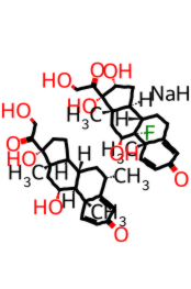 C[C@H]1C[C@@H]2[C@H]([C@@H](O)C[C@@]3(C)[C@H]2CC[C@]3(O)C(=O)CO)[C@@]2(C)C=CC(=O)C=C12.C[C@]12C=CC(=O)C=C1CC[C@H]1[C@@H]3C[C@@H](O)[C@](O)(C(=O)CO)[C@@]3(C)C[C@H](O)[C@@]12F.[NaH]